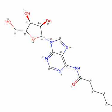 CCCCCC(=O)Nc1ncnc2c1ncn2[C@@H]1O[C@H](CO)[C@@H](O)[C@H]1O